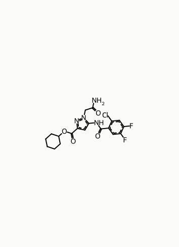 NC(=O)Cn1nc(C(=O)OC2CCCCC2)cc1NC(=O)c1cc(F)c(F)cc1Cl